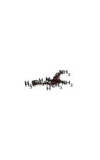 C[C@H](CCCNCCCCCCCCCC[Si](C)(C)C)[C@H]1CC[C@H]2C3[C@H](OCCCN)CC4C[C@H](OCCCN)CC[C@]4(C)[C@H]3C[C@H](OCCCN)C12C